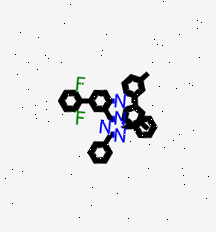 Cc1ccc2c(c1)c1cc(C)ccc1n2-c1ccc(-c2c(F)cccc2F)cc1-c1nc(-c2ccccc2)nc(-c2ccccc2)n1